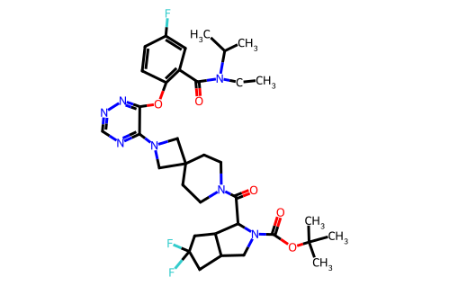 CCN(C(=O)c1cc(F)ccc1Oc1nncnc1N1CC2(CCN(C(=O)C3C4CC(F)(F)CC4CN3C(=O)OC(C)(C)C)CC2)C1)C(C)C